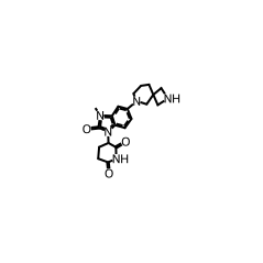 Cn1c(=O)n(C2CCC(=O)NC2=O)c2ccc(N3CCCC4(CNC4)C3)cc21